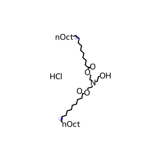 CCCCCCCC/C=C\CCCCCCCC(=O)OCCN(CCO)CCOC(=O)CCCCCCC/C=C\CCCCCCCC.Cl